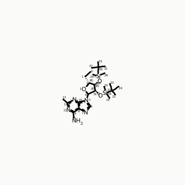 CC[C@H]1OC(n2cnc3c(N)nc(C)nc32)[C@H](O[Si](C)(C)C(C)(C)C)[C@@H]1O[Si](C)(C)C(C)(C)C